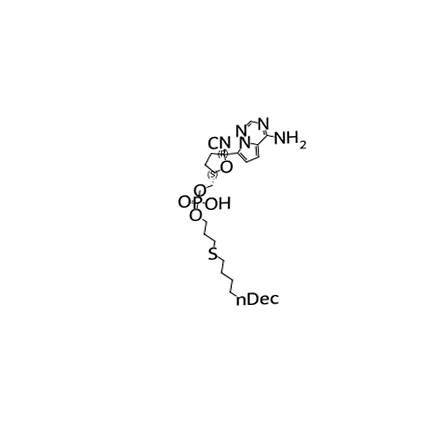 CCCCCCCCCCCCCCSCCCOP(=O)(O)OC[C@@H]1CC[C@](C#N)(c2ccc3c(N)ncnn23)O1